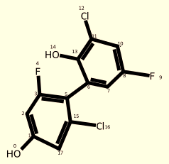 Oc1cc(F)c(-c2cc(F)[c]c(Cl)c2O)c(Cl)c1